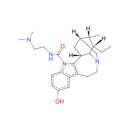 CC[C@@H]1C2[C@H]3C[C@@H](CN2CCc2c3n(C(=O)NCCN(C)C)c3ccc(O)cc23)[C@@H]1C